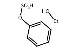 CCO.O=S(=O)(O)Oc1ccccc1